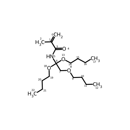 C=C(C)C(=O)NC(COCCCC)(OCCCC)OCCCC